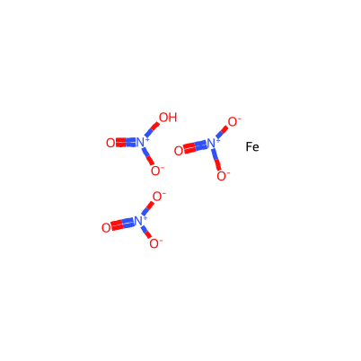 O=[N+]([O-])O.O=[N+]([O-])[O-].O=[N+]([O-])[O-].[Fe]